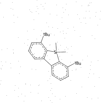 CC(C)(C)c1cccc2c1[Si](C)(C)c1c-2cccc1C(C)(C)C